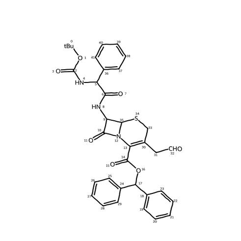 CC(C)(C)OC(=O)NC(C(=O)NC1C(=O)N2C(C(=O)OC(c3ccccc3)c3ccccc3)=C(CC=O)CSC12)c1ccccc1